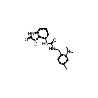 Cc1ccc(CNC(=O)Nc2cccc3[nH]c(=O)[nH]c23)c(N(C)C)c1